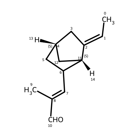 CC=C1C[C@H]2CC(C=C(C)C=O)[C@@H]1C2